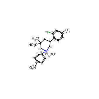 CC1(C(=O)O)CC(c2ccc(C(F)(F)F)cc2F)C[N+](C(=O)[O-])(c2ccc([N+](=O)[O-])cc2)C1